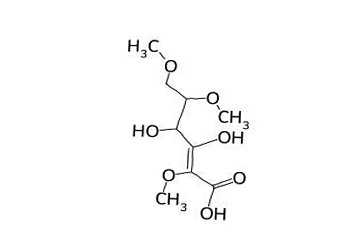 COCC(OC)C(O)C(O)=C(OC)C(=O)O